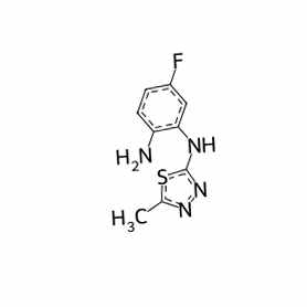 Cc1nnc(Nc2cc(F)ccc2N)s1